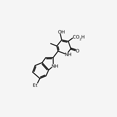 CCc1ccc2cc(-c3[nH]c(=O)c(C(=O)O)c(O)c3C)[nH]c2c1